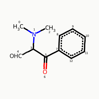 CN(C)C(C=O)C(=O)c1ccccc1